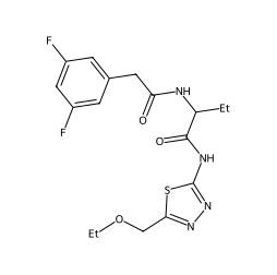 CCOCc1nnc(NC(=O)C(CC)NC(=O)Cc2cc(F)cc(F)c2)s1